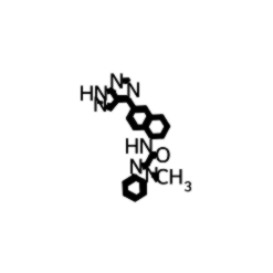 Cn1c(C(=O)NC2CCCc3cc(-c4ncnc5[nH]ncc45)ccc32)nc2ccccc21